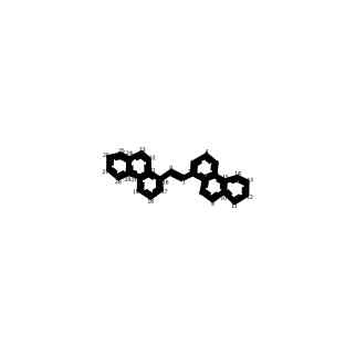 C(=Cc1cccc2c1ccc1ccccc12)c1cccc2c1ccc1ccccc12